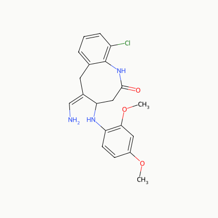 COc1ccc(NC2CC(=O)Nc3c(Cl)cccc3C/C2=C/N)c(OC)c1